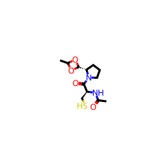 CC(=O)N[C@@H](CS)C(=O)N1CCC[C@H]1C1OC(C)O1